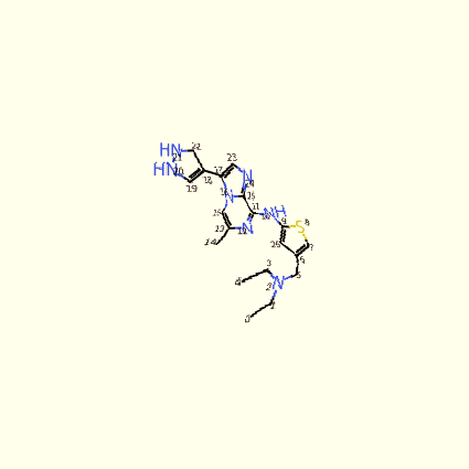 CCN(CC)Cc1csc(Nc2nc(C)cn3c(C4=CNNC4)cnc23)c1